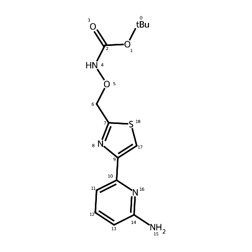 CC(C)(C)OC(=O)NOCc1nc(-c2cccc(N)n2)cs1